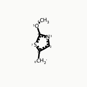 [CH2]c1cnc(OC)s1